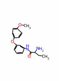 CCC(N)C(=O)Nc1cccc(Oc2ccc(OC)cc2)c1